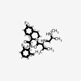 CN[C@@H](C)CN[C@H](C(=O)N1CCc2cc(F)ccc2C1C(=O)Nc1c(F)cccc1F)C(C)C